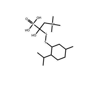 CC1CCC(C(C)C)C(SSC(O)(C[N+](C)(C)C)P(=O)(O)O)C1